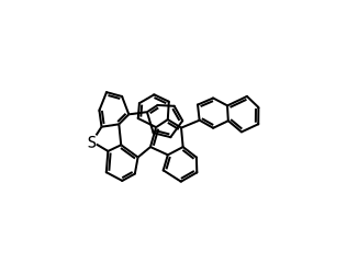 c1ccc(-c2cccc3sc4cccc(-c5c6ccccc6c(-c6ccc7ccccc7c6)c6ccccc56)c4c23)cc1